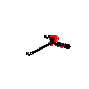 CCCCCCCCCCCCCCCCCC(=O)N(CCCCc1ccc(NC(=O)OCc2ccccc2)cc1)C[C@H]1O[C@H](OC)[C@H](O)[C@@H](O)[C@@H]1O